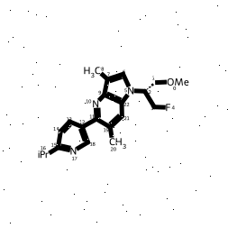 COC[C@H](CF)n1cc(C)c2nc(-c3ccc(C(C)C)nc3)c(C)cc21